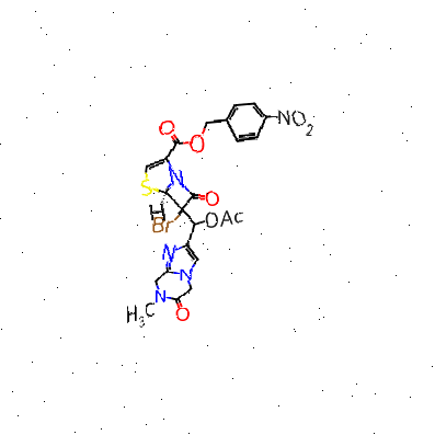 CC(=O)OC(c1cn2c(n1)CN(C)C(=O)C2)C1(Br)C(=O)N2C(C(=O)OCc3ccc([N+](=O)[O-])cc3)=CS[C@@H]21